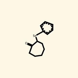 O=C1CCCCCC1[Se]c1ccccc1